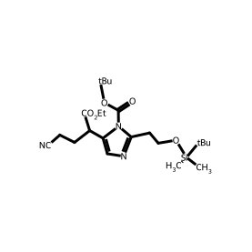 CCOC(=O)C(CCC#N)c1cnc(CCO[Si](C)(C)C(C)(C)C)n1C(=O)OC(C)(C)C